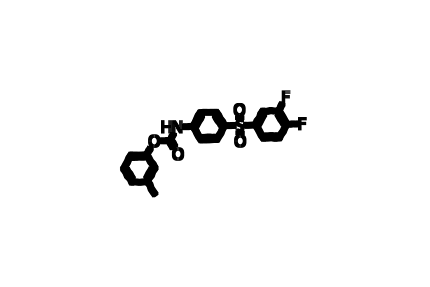 Cc1cccc(OC(=O)Nc2ccc(S(=O)(=O)c3ccc(F)c(F)c3)cc2)c1